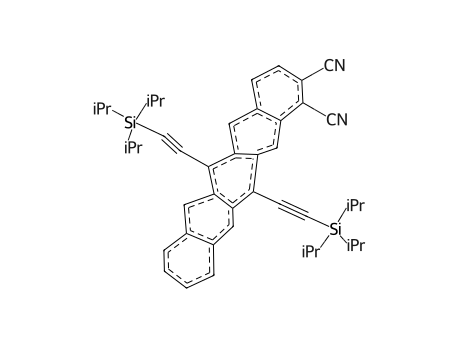 CC(C)[Si](C#Cc1c2cc3ccccc3cc2c(C#C[Si](C(C)C)(C(C)C)C(C)C)c2cc3c(C#N)c(C#N)ccc3cc12)(C(C)C)C(C)C